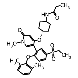 CCC(=O)N[C@H]1CC[C@H](Oc2cc(=O)n(C)cc2-c2cc(S(=O)(=O)CC)ccc2Oc2c(C)cccc2C)CC1